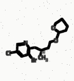 C[C@H](CCOC1CCCCO1)Cc1ncc(Cl)cc1Br